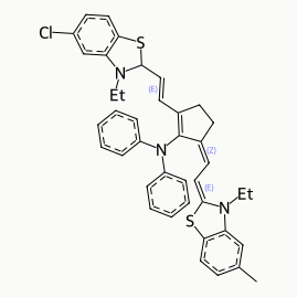 CCN1/C(=C\C=C2\CCC(/C=C/C3Sc4ccc(Cl)cc4N3CC)=C2N(c2ccccc2)c2ccccc2)Sc2ccc(C)cc21